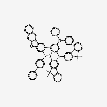 CC1(C)c2ccccc2-c2cc(N3c4cc5c(cc4B4c6c(cc(N(c7ccccc7)c7ccccc7)cc63)-c3cc6c(cc3N4c3ccc(-c4ccccc4)cc3)oc3cc4ccccc4cc36)C(C)(C)c3ccccc3-5)ccc21